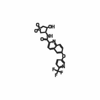 O=C(N[C@H]1CS(=O)(=O)C[C@H]1O)c1ccc2cc(Oc3ccc(C(F)(F)F)nc3)ccc2n1